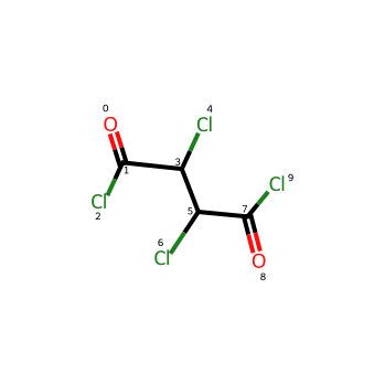 O=C(Cl)C(Cl)C(Cl)C(=O)Cl